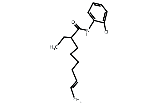 CC=CCCCCC(CC)C(=O)Nc1ccccc1Cl